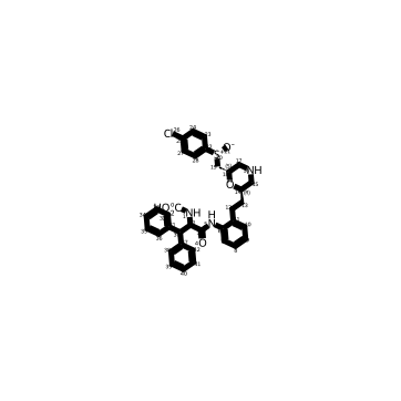 O=C(O)NC(C(=O)Nc1ccccc1CC[C@@H]1CNC[C@@H](C[S+]([O-])c2ccc(Cl)cc2)O1)C(c1ccccc1)c1ccccc1